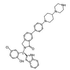 O=C1c2cc(-c3ccc(N4CCC(N5CCNCC5)CC4)cc3)ccc2CN1[C@@H](c1cc2ccccc2[nH]1)c1cc(Cl)ccc1O